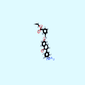 C=CCOC(=O)c1cccc(COc2ccc3c(c2)CC=C(c2ccc(N)cc2)C3=O)c1